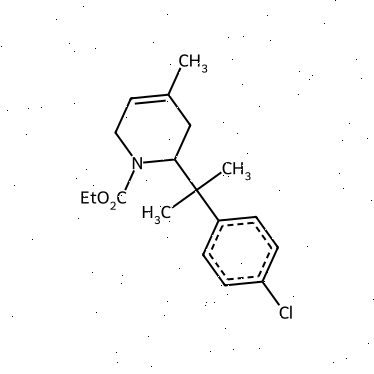 CCOC(=O)N1CC=C(C)CC1C(C)(C)c1ccc(Cl)cc1